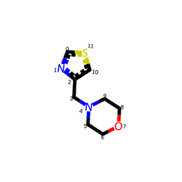 c1nc(CN2CCOCC2)cs1